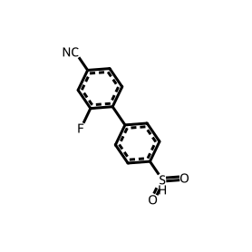 N#Cc1ccc(-c2ccc([SH](=O)=O)cc2)c(F)c1